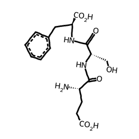 N[C@@H](CCC(=O)O)C(=O)N[C@@H](CO)C(=O)N[C@@H](Cc1ccccc1)C(=O)O